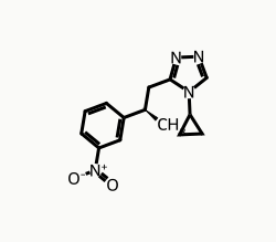 C[C@H](Cc1nncn1C1CC1)c1cccc([N+](=O)[O-])c1